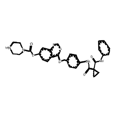 O=C(Oc1ccc2c(Oc3ccc(NC(=O)C4(C(=O)Nc5ccccc5)CC4)cc3)ncnc2c1)N1CCNCC1